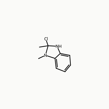 CN1c2ccccc2NC1(C)Cl